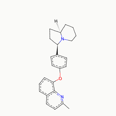 Cc1ccc2cccc(Oc3ccc([C@H]4CC[C@H]5CCCCN54)cc3)c2n1